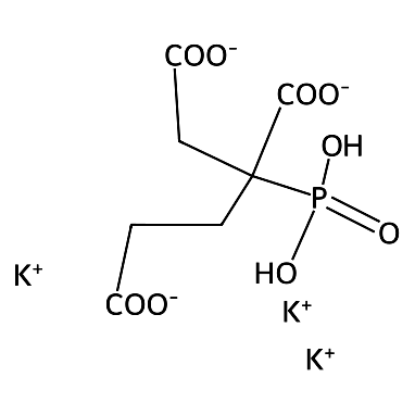 O=C([O-])CCC(CC(=O)[O-])(C(=O)[O-])P(=O)(O)O.[K+].[K+].[K+]